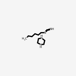 C1CNCCN1.CCCCCCN=C=N